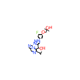 CC(C)(O)COc1ccc(-n2cc(C(O)c3c(C4CC4)ncc4cncn34)nn2)cc1F